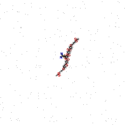 C=CC(=O)OCCCCCCOc1ccc(CC(=O)C2CCC(C(=O)Oc3ccc(OC(=O)C4CCC(C(=O)Oc5ccc(OCCCCCCOC(=O)C=C)cc5)CC4)c4c3SC(=C(C#N)C#N)S4)CC2)cc1